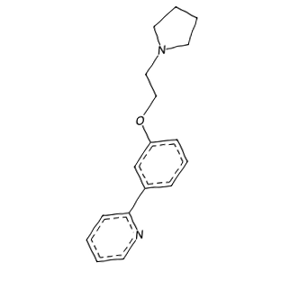 c1ccc(-c2cccc(OCCN3CCCC3)c2)nc1